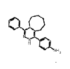 Bc1ccc(C2=C3CCCCCCC3C(c3ccccc3)=NN2)cc1